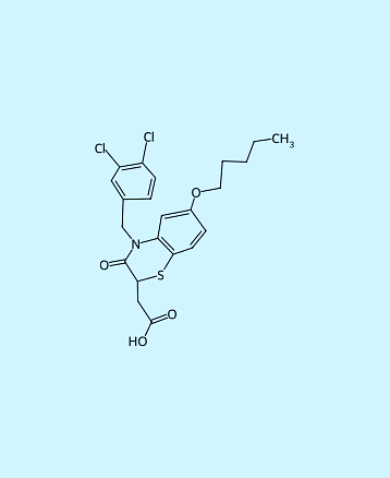 CCCCCOc1ccc2c(c1)N(Cc1ccc(Cl)c(Cl)c1)C(=O)C(CC(=O)O)S2